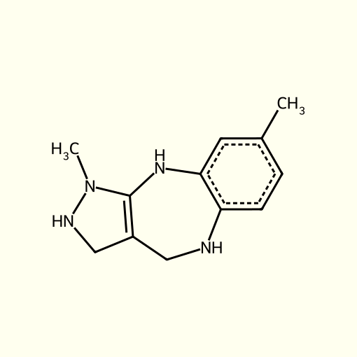 Cc1ccc2c(c1)NC1=C(CN2)CNN1C